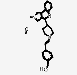 C[O].Cn1cc2c(C3CCN(C=Cc4ccc(CO)cc4)CC3)nc3ccccc3c2c1